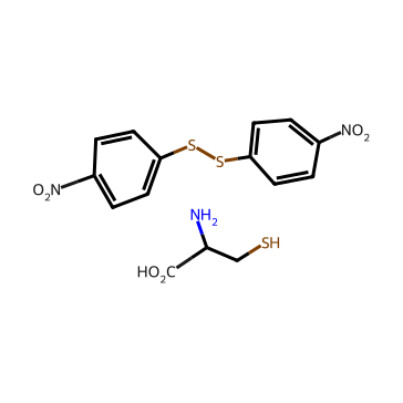 NC(CS)C(=O)O.O=[N+]([O-])c1ccc(SSc2ccc([N+](=O)[O-])cc2)cc1